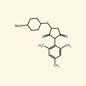 COC1CCC(CC2CC(=O)C(c3c(C)cc(C)cc3C)C2=O)CC1